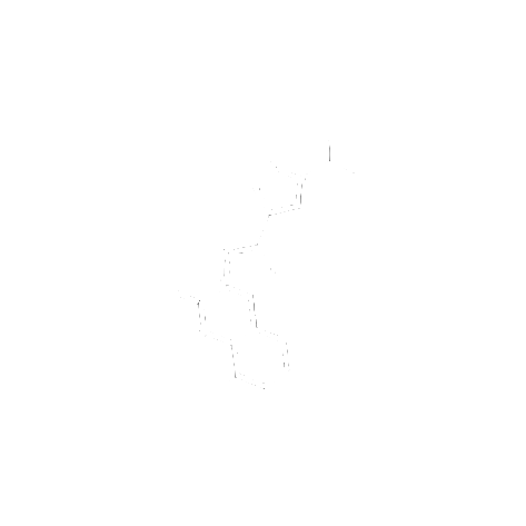 O=c1[nH]c2c(Br)cccc2c2nc(-c3cnn(C(F)F)c3)nn12